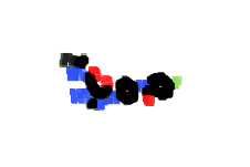 CC(C)C(C)NC(=O)c1[nH]cnc1C(=O)Nc1ccc(NC(=O)c2ccc(F)cc2)cc1